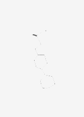 O=C(O)CCC1CCN(N2CCCCC2)CC1